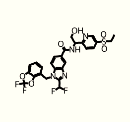 CCS(=O)(=O)c1ccc(C(CO)NC(=O)c2ccc3c(c2)nc(C(F)F)n3Cc2cccc3c2OC(F)(F)O3)nc1